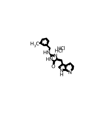 Cc1cccc(CNC2=NC(=Cc3c[nH]c4ncccc34)C(=O)N2)c1.Cl.Cl